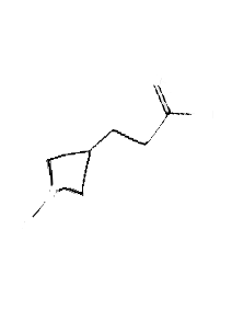 C=C(C)CCC1CN(C)C1